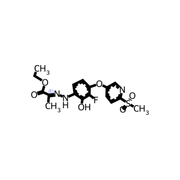 CCOC(=O)/C(C)=N/Nc1ccc(Oc2ccc(S(C)(=O)=O)nc2)c(F)c1O